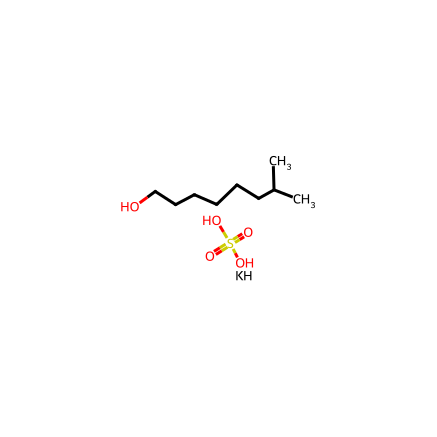 CC(C)CCCCCCO.O=S(=O)(O)O.[KH]